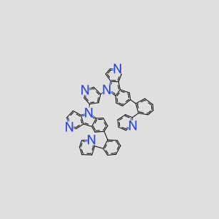 c1ccc(-c2ccccc2-c2ccc3c(c2)c2cnccc2n3-c2cncc(-n3c4ccncc4c4cc(-c5ccccc5-c5ccccn5)ccc43)c2)nc1